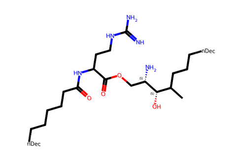 CCCCCCCCCCCCCCCC(=O)NC(CCNC(=N)N)C(=O)OC[C@H](N)[C@@H](O)C(C)CCCCCCCCCCCCC